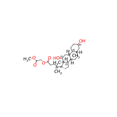 COC(=O)COC(=O)CC[C@@H](C)[C@H]1CC[C@H]2[C@@H]3CC[C@@H]4C[C@H](O)CC[C@]4(C)[C@H]3C[C@H](O)[C@]12C